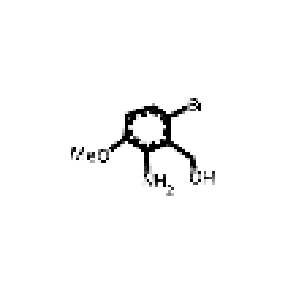 COc1ccc(Br)c(CO)c1N